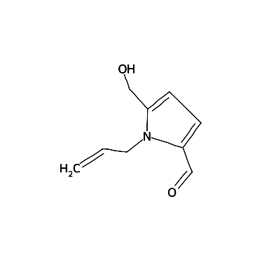 C=CCn1c(C=O)ccc1CO